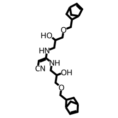 N#CC=C(NCC(O)COCC1CC2C=CC1C2)NCC(O)COCC1CC2C=CC1C2